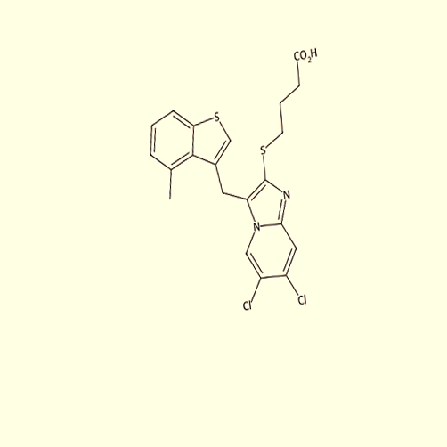 Cc1cccc2scc(Cc3c(SCCCC(=O)O)nc4cc(Cl)c(Cl)cn34)c12